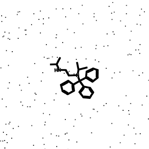 CC(C)NCCN(C(C)C)C(c1ccccc1)(c1ccccc1)c1ccccc1